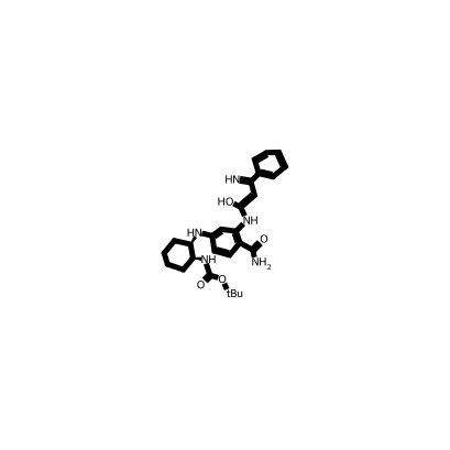 CC(C)(C)OC(=O)N[C@H]1CCCC[C@H]1Nc1ccc(C(N)=O)c(N/C(O)=C/C(=N)c2ccccc2)c1